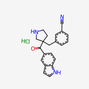 Cl.N#Cc1cccc(CC2(C(=O)c3ccc4[nH]ccc4c3)CCNC2)c1